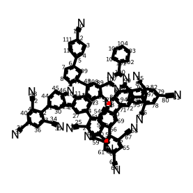 N#Cc1ccc(-c2ccc(-n3c4ccc(-c5c(C#N)cc(C#N)cc5C#N)cc4c4cc(-c5c(C#N)cc(C#N)cc5C#N)ccc43)c(-c3ccc(-n4c5ccc(-c6c(C#N)cc(C#N)cc6C#N)cc5c5cc(-c6c(C#N)cc(C#N)cc6C#N)ccc54)c(-c4nc(-c5ccccc5)nc(-c5ccccc5)n4)c3)c2)cc1